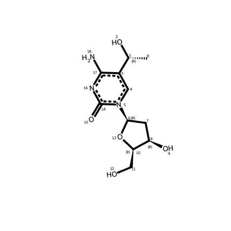 C[C@@H](O)c1cn([C@H]2C[C@@H](O)[C@@H](CO)O2)c(=O)nc1N